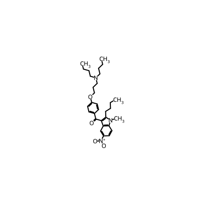 CCCCc1c(C(=O)c2ccc(OCCCN(CCCC)CCCC)cc2)c2cc([N+](=O)[O-])ccc2n1C